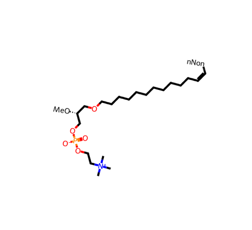 CCCCCCCCC/C=C\CCCCCCCCCCCOC[C@H](COP(=O)([O-])OCC[N+](C)(C)C)OC